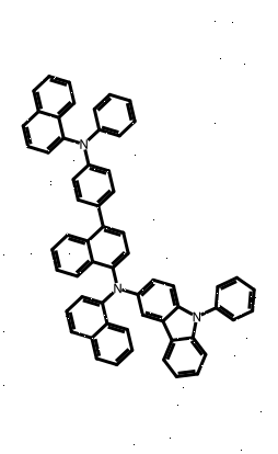 c1ccc(N(c2ccc(-c3ccc(N(c4ccc5c(c4)c4ccccc4n5-c4ccccc4)c4cccc5ccccc45)c4ccccc34)cc2)c2cccc3ccccc23)cc1